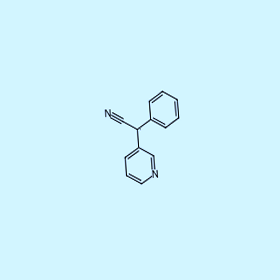 N#C[C](c1ccccc1)c1cccnc1